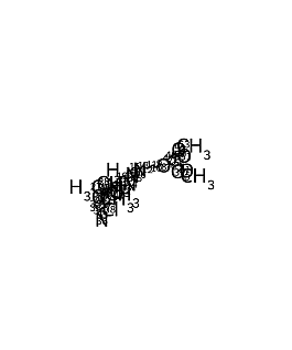 COC(=O)Cc1cc(OCCCCCN2CCN(c3ccc(C(=O)NC4C(C)(C)C(Oc5ccc(C#N)c(Cl)c5)C4(C)C)cn3)CC2)ccc1C(=O)OC